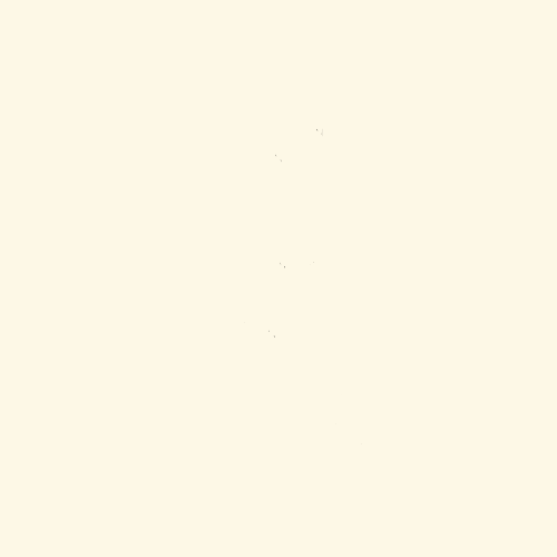 COc1ccc(-c2csc(C3(CNC(=O)c4cccc(-c5noc(C)n5)c4)CCOCC3)n2)cc1